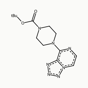 CC(C)(C)OC(=O)N1CCN(c2nccn3nnnc23)CC1